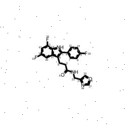 O=C(CCc1c(-c2ccc(F)cc2)[nH]c2c(F)cc(F)cc12)NCc1cocn1